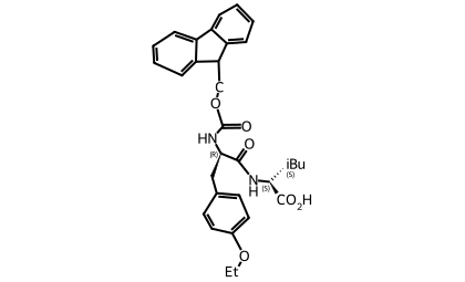 CCOc1ccc(C[C@@H](NC(=O)OCC2c3ccccc3-c3ccccc32)C(=O)N[C@H](C(=O)O)[C@@H](C)CC)cc1